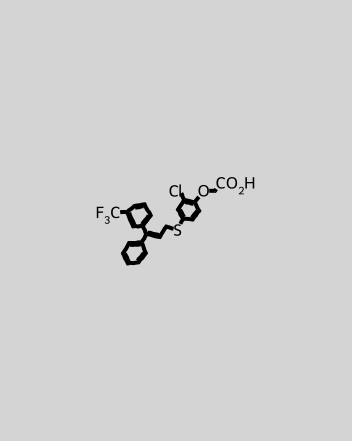 O=C(O)COc1ccc(SCC=C(c2ccccc2)c2cccc(C(F)(F)F)c2)cc1Cl